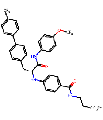 CCOC(=O)CCNC(=O)c1ccc(N[C@H](Cc2ccc(-c3ccc(C(F)(F)F)cc3)cc2)C(=O)Nc2ccc(OC(F)(F)F)cc2)cc1